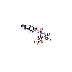 CCC(C)(C)CN(CCS(C)(=O)=O)C(=O)OCc1ccc(NC(C)(C)C)cc1